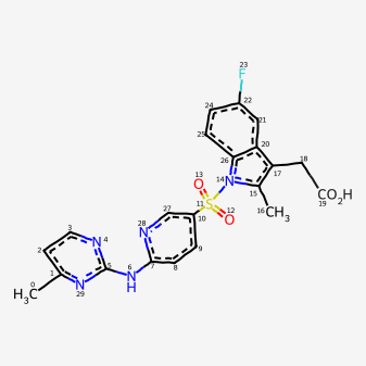 Cc1ccnc(Nc2ccc(S(=O)(=O)n3c(C)c(CC(=O)O)c4cc(F)ccc43)cn2)n1